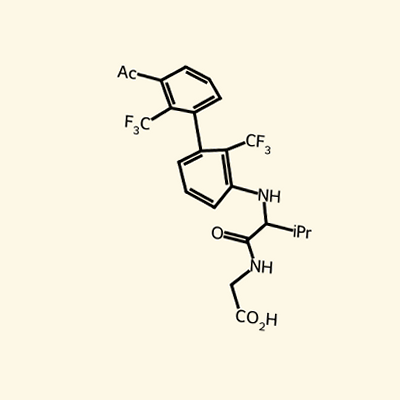 CC(=O)c1cccc(-c2cccc(NC(C(=O)NCC(=O)O)C(C)C)c2C(F)(F)F)c1C(F)(F)F